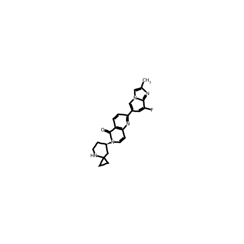 Cc1cn2cc(-c3ccc4c(=O)n([C@@H]5CCNC6(CC6)C5)ccc4n3)cc(F)c2n1